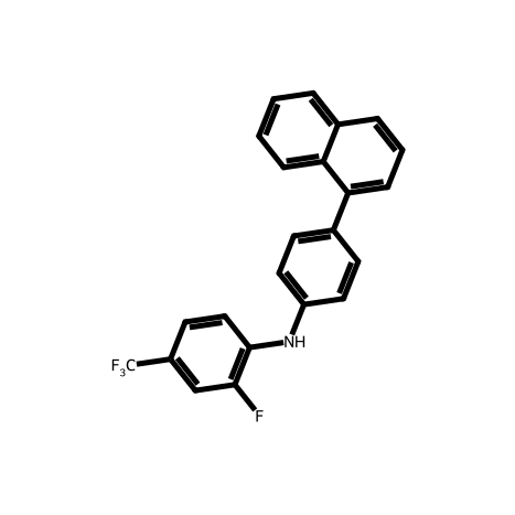 Fc1cc(C(F)(F)F)ccc1Nc1ccc(-c2cccc3ccccc23)cc1